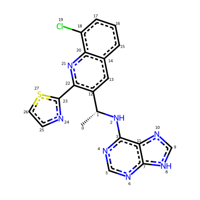 C[C@@H](Nc1ncnc2[nH]cnc12)c1cc2cccc(Cl)c2nc1-c1nccs1